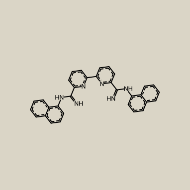 N=C(Nc1cccc2ccccc12)c1cccc(-c2cccc(C(=N)Nc3cccc4ccccc34)n2)n1